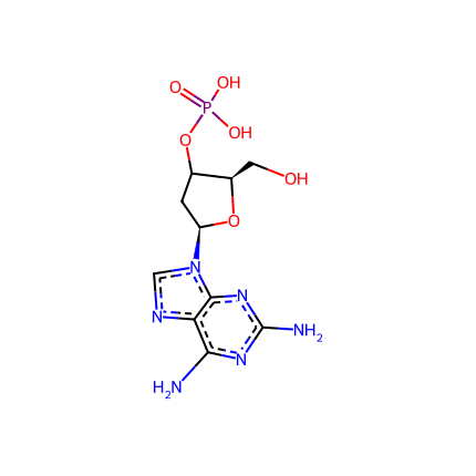 Nc1nc(N)c2ncn([C@H]3CC(OP(=O)(O)O)[C@@H](CO)O3)c2n1